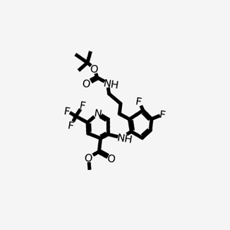 COC(=O)c1cc(C(F)(F)F)ncc1Nc1ccc(F)c(F)c1CCCNC(=O)OC(C)(C)C